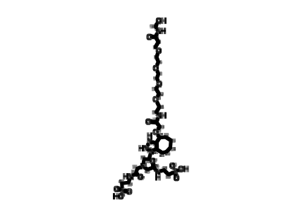 O=C(CCOCCOCCOCCOCCNC(=O)COC1CCCCCC2=C1NNN2CCN(CC(=O)NCCS(=O)(=O)O)CC(=O)NCCS(=O)(=O)O)NCO